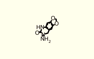 NN1Cc2cc3c(cc2NC1=O)OCO3